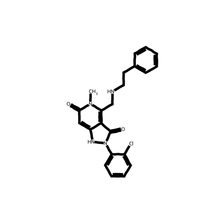 Cn1c(CNCCc2ccccc2)c2c(=O)n(-c3ccccc3Cl)[nH]c2cc1=O